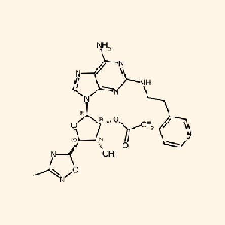 Cc1noc([C@H]2O[C@@H](n3cnc4c(N)nc(NCCc5ccccc5)nc43)[C@H](OC(=O)C(F)(F)F)[C@@H]2O)n1